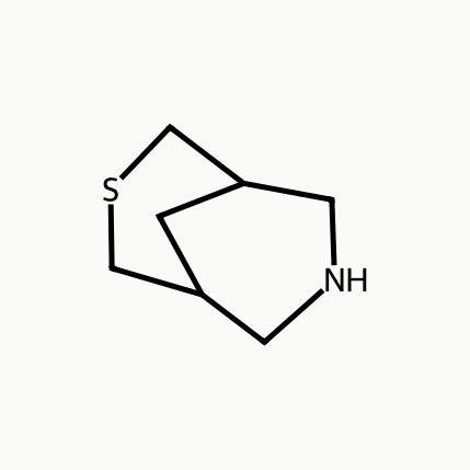 C1NCC2CSCC1C2